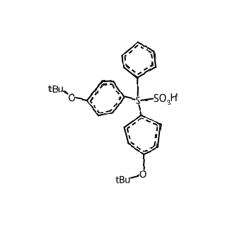 CC(C)(C)Oc1ccc(S(c2ccccc2)(c2ccc(OC(C)(C)C)cc2)S(=O)(=O)O)cc1